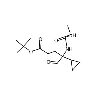 CNC(=O)NC(C=O)(CCC(=O)OC(C)(C)C)C1CC1